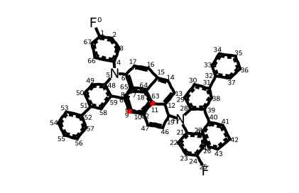 Fc1ccc(N(C2=C3C=CC4=C5C(=CC=C(C=C2)C35)C(N(c2ccc(F)cc2)c2ccc(-c3ccccc3)cc2-c2ccccc2)C=C4)c2ccc(-c3ccccc3)cc2-c2ccccc2)cc1